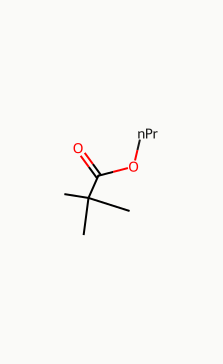 C[CH]COC(=O)C(C)(C)C